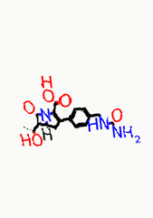 C[C@@H](O)[C@H]1C(=O)N2C(C(=O)O)=C(c3ccc(CNC(N)=O)cc3)C[C@H]12